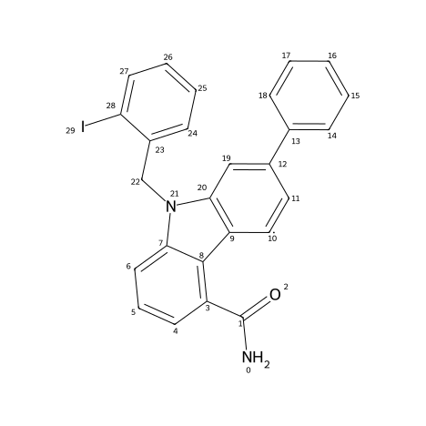 NC(=O)c1cccc2c1c1[c]cc(-c3ccccc3)cc1n2Cc1ccccc1I